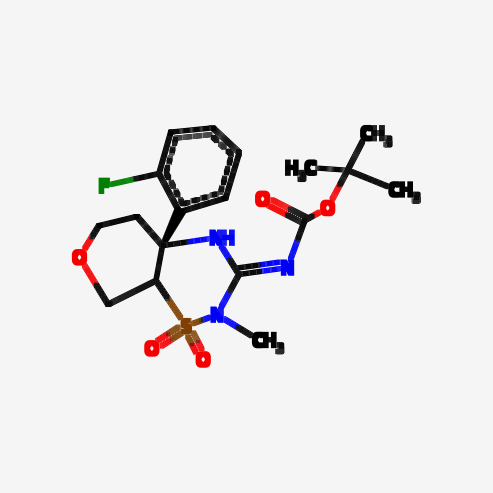 CN1/C(=N/C(=O)OC(C)(C)C)N[C@@]2(c3ccccc3F)CCOCC2S1(=O)=O